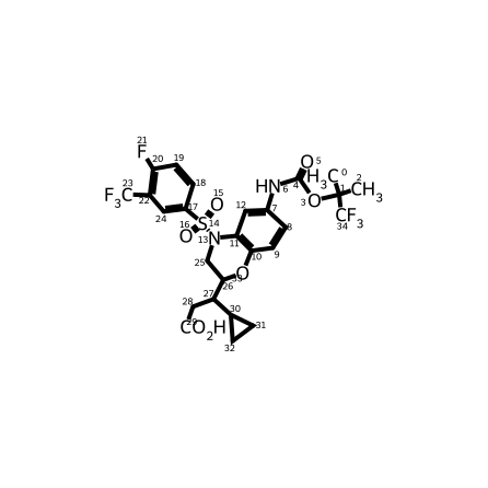 CC(C)(OC(=O)Nc1ccc2c(c1)N(S(=O)(=O)c1ccc(F)c(C(F)(F)F)c1)CC(C(CC(=O)O)C1CC1)O2)C(F)(F)F